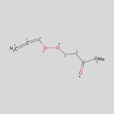 C=C=COOCCC(=O)OC